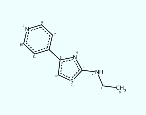 CCNc1nc(-c2ccncc2)cs1